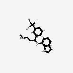 CNCC[C@H](Oc1cccc2ccsc12)c1cccc(C(F)(F)F)c1